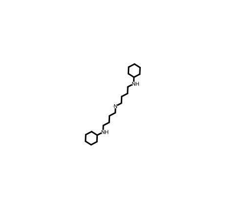 C1CCC(NCCCC[N]CCCCNC2CCCCC2)CC1